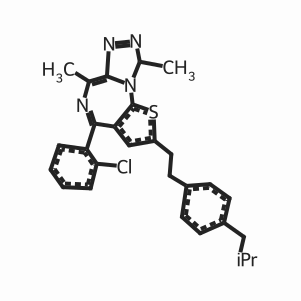 CC1=C2N=NC(C)N2c2sc(CCc3ccc(CC(C)C)cc3)cc2C(c2ccccc2Cl)=N1